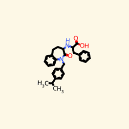 CC(C)c1ccc(CN2C(=O)C(NC(Cc3ccccc3)C(=O)O)CCc3ccccc32)cc1